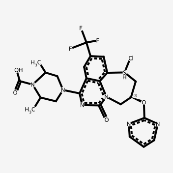 CC1CN(c2nc(=O)n3c4c(cc(C(F)(F)F)cc24)[SH](Cl)C[C@@H](Oc2ncccn2)C3)CC(C)N1C(=O)O